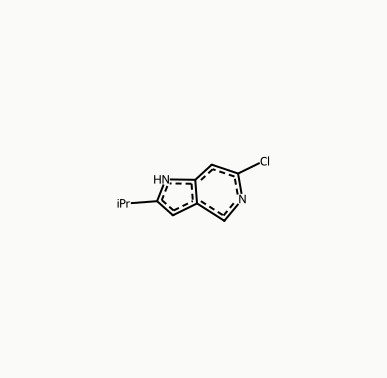 CC(C)c1cc2cnc(Cl)cc2[nH]1